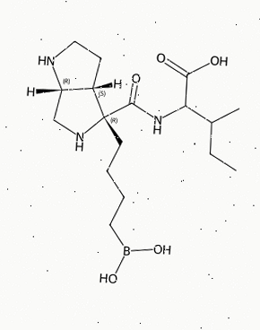 CCC(C)C(NC(=O)[C@]1(CCCCB(O)O)NC[C@@H]2NCC[C@@H]21)C(=O)O